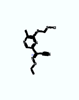 CCO/N=C(\C#N)c1cnc(C)c(SCSCl)n1